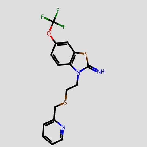 N=c1sc2cc(OC(F)(F)F)ccc2n1CCSCc1ccccn1